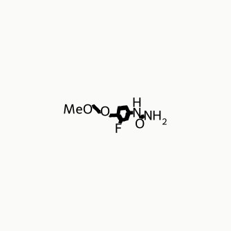 COCCOCc1ccc(NC(N)=O)cc1F